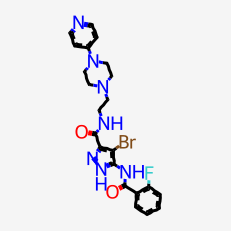 O=C(Nc1[nH]nc(C(=O)NCCN2CCN(c3ccncc3)CC2)c1Br)c1ccccc1F